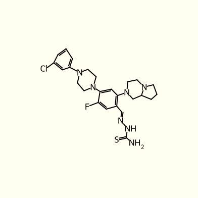 NC(=S)N/N=C/c1cc(F)c(N2CCN(c3cccc(Cl)c3)CC2)cc1N1CCN2CCCC2C1